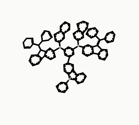 C1=CCC(C(C2=CCCC=C2)C2c3ccccc3-c3ccc(N(c4cc(-c5ccc6c(c5)c5ccccc5n6-c5ccccc5)cc(N(c5ccc6c(c5)C(=C(c5ccccc5)c5ccccc5)c5ccccc5-6)c5ccc6ccccc6c5)c4)c4ccc5ccccc5c4)cc32)C=C1